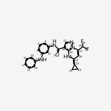 O=C(Nc1cccc(Nc2ccccc2)c1)c1cnn2c1NC(=C1CC1)C=C2C(F)F